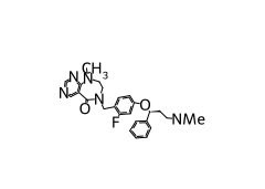 CNCC[C@H](Oc1ccc(CN2CCN(C)c3ncncc3C2=O)c(F)c1)c1ccccc1